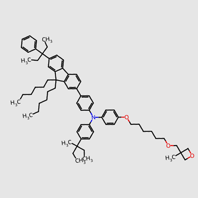 CCCCCCC1(CCCCCC)c2cc(-c3ccc(N(c4ccc(OCCCCCCOCC5(C)COC5)cc4)c4ccc(C(C)(CC)CC)cc4)cc3)ccc2-c2ccc(C(CC)(CC)c3ccccc3)cc21